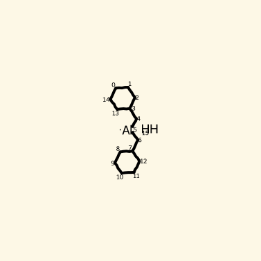 C1CCC([CH2][Al][CH2]C2CCCCC2)CC1.[HH]